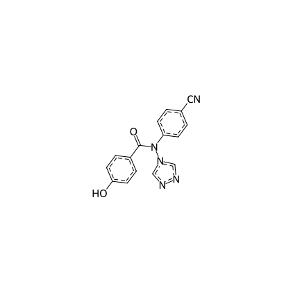 N#Cc1ccc(N(C(=O)c2ccc(O)cc2)n2cnnc2)cc1